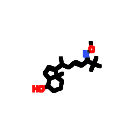 CON=C(/C=C/CC(C)C1=CCC2C(O)CCCC12C)C(C)(C)C